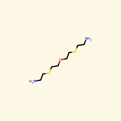 NCCSCCOCCSCCN